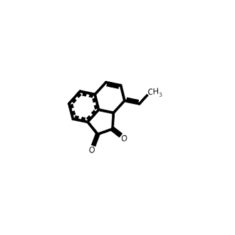 CC=C1C=Cc2cccc3c2C1C(=O)C3=O